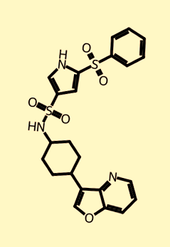 O=S(=O)(NC1CCC(c2coc3cccnc23)CC1)c1c[nH]c(S(=O)(=O)c2ccccc2)c1